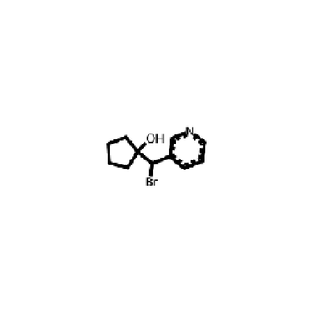 OC1(C(Br)c2cccnc2)CCCC1